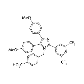 COc1ccc(-c2nc(-c3cc(C(F)(F)F)cc(C(F)(F)F)c3)n(Cc3ccc(C(=O)O)cc3)c2-c2ccc(OC)cc2)cc1